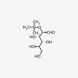 C[Si](C)(C)O[C@@H](C=O)[C@@H](O)[C@H](O)[C@H](O)CO